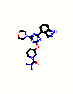 CN(C)C(=O)N1CCCC(Oc2nc(-c3cccc4[nH]ncc34)nc(N3CCOCC3)n2)C1